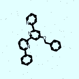 c1ccc(COc2cc(-c3ccccn3)nc(-c3cccc(-c4ccccc4)n3)c2)cc1